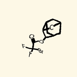 O=C(OC1C2CC3CC(C2)C1C3)C(F)(F)Br